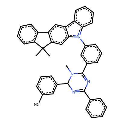 CN1C(c2cccc(-n3c4ccccc4c4cc5c(cc43)C(C)(C)c3ccccc3-5)c2)=NC(c2ccccc2)=NC1c1cccc(C#N)c1